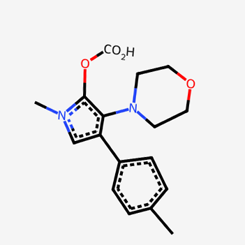 Cc1ccc(-c2cn(C)c(OC(=O)O)c2N2CCOCC2)cc1